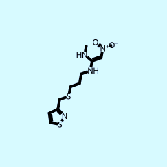 CNC(=C[N+](=O)[O-])NCCCSCc1ccsn1